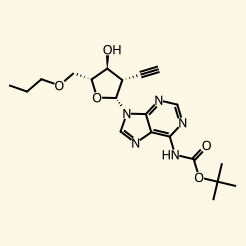 C#C[C@H]1[C@H](O)[C@@H](COCCC)O[C@H]1n1cnc2c(NC(=O)OC(C)(C)C)ncnc21